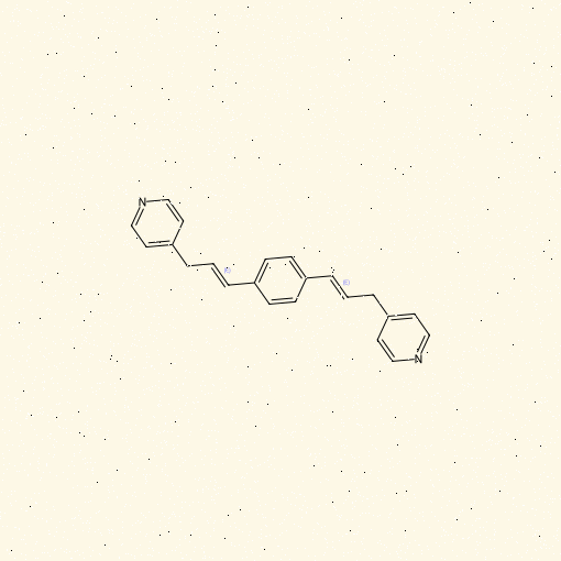 C(=C\c1ccc(/C=C/Cc2ccncc2)cc1)/Cc1ccncc1